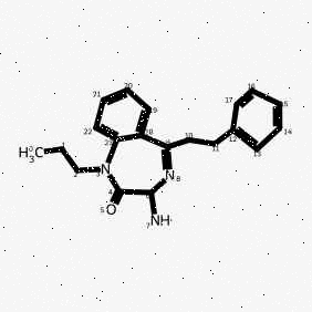 CCCN1C(=O)C([NH])N=C(CCc2ccccc2)c2ccccc21